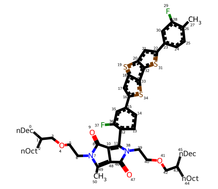 CCCCCCCCCCC(CCCCCCCC)COCCN1C(=O)C2=C(c3ccc(-c4cc5sc6cc(-c7ccc(C)c(F)c7)sc6c5s4)cc3F)N(CCOCC(CCCCCCCC)CCCCCCCCCC)C(=O)C2=C1C